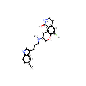 CCN(CCCc1c[nH]c2ccc(C#N)cc12)C1COc2c(F)cc3c(c2C1)C(=O)NCC3